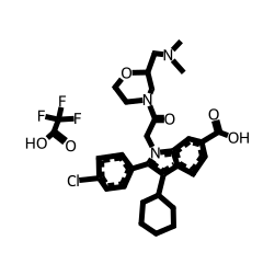 CN(C)CC1CN(C(=O)Cn2c(-c3ccc(Cl)cc3)c(C3CCCCC3)c3ccc(C(=O)O)cc32)CCO1.O=C(O)C(F)(F)F